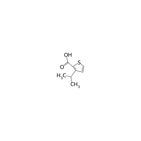 CC(C)c1ccsc1C(=O)O